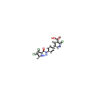 Cc1[nH]c(C(=O)Nc2ccc(-c3cnc(Cl)c(C(=O)O)c3C)cc2)c(Cl)c1Cl